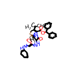 C=C(C)C1=C(C(=O)OC(c2ccccc2)c2ccccc2)N2C(=O)C(NC(=O)CNC3=CC=CCC3)[C@H]2SC1